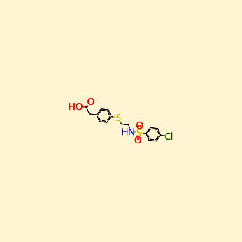 O=C(O)Cc1ccc(SCCNS(=O)(=O)c2ccc(Cl)cc2)cc1